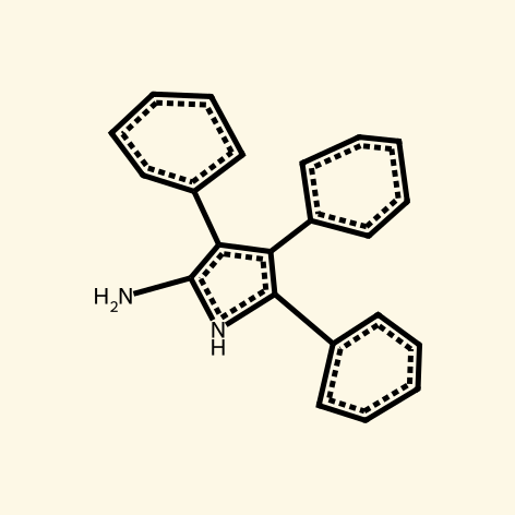 Nc1[nH]c(-c2ccccc2)c(-c2ccccc2)c1-c1ccccc1